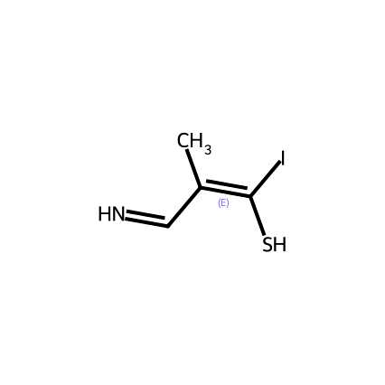 C/C(C=N)=C(/S)I